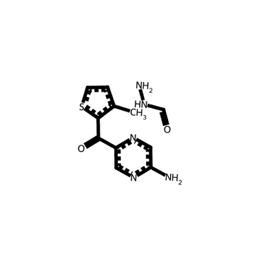 Cc1ccsc1C(=O)c1cnc(N)cn1.NNC=O